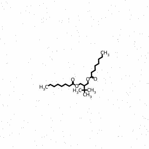 CCCCCCCC(=O)OCC(COC(=O)CCCCCCC)C(C)(C)C